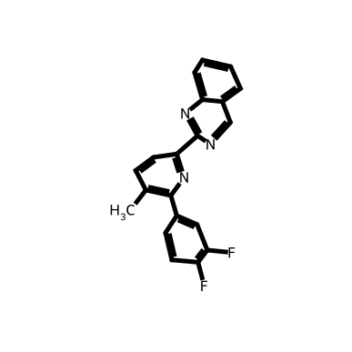 Cc1ccc(-c2ncc3ccccc3n2)nc1-c1ccc(F)c(F)c1